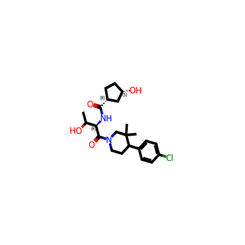 CC(O)[C@@H](NC(=O)[C@@H]1CC[C@H](O)C1)C(=O)N1CCC(c2ccc(Cl)cc2)C(C)(C)C1